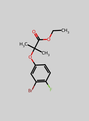 CCOC(=O)C(C)(C)Oc1ccc(F)c(Br)c1